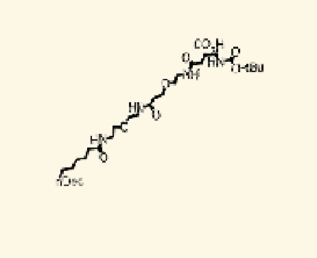 CCCCCCCCCCCCCCCC(=O)NCCOCCNC(=O)CCOCCNC(=O)CC[C@H](NC(=O)OC(C)(C)C)C(=O)O